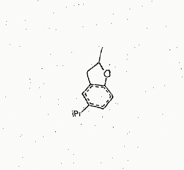 CC1Cc2cc(C(C)C)ccc2O1